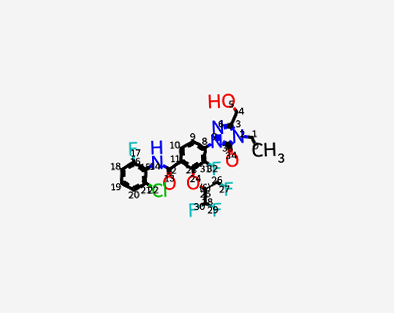 CCn1c(CO)nn(-c2ccc(C(=O)Nc3c(F)cccc3Cl)c(O[C@@H](CF)C(F)F)c2F)c1=O